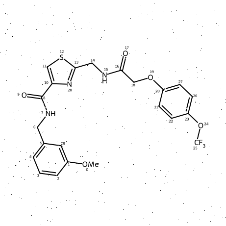 COc1cccc(CNC(=O)c2csc(CNC(=O)COc3ccc(OC(F)(F)F)cc3)n2)c1